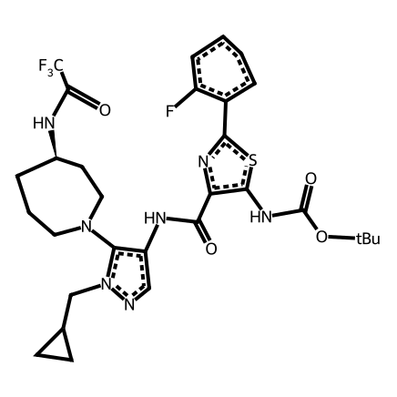 CC(C)(C)OC(=O)Nc1sc(-c2ccccc2F)nc1C(=O)Nc1cnn(CC2CC2)c1N1CCC[C@@H](NC(=O)C(F)(F)F)CC1